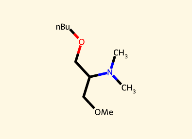 CCCCOCC(COC)N(C)C